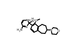 COc1c(C2(N)N=C(N)C=CN2)ccc2c1CCC(N1CCOCC1)CC2